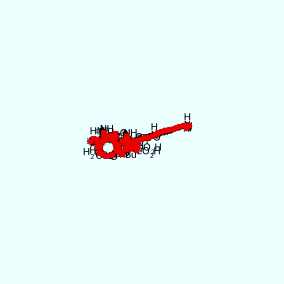 CCCC[C@H](NC(=O)[C@H](CCCCN(CC(=O)O)CC(=O)O)NC(=O)[C@H](CC1=CCC=N1)NC(=O)[C@H](CCC(N)=O)NC(=O)[C@H](CO)NC(=O)CNC(=O)COCCOCCNC(=O)CCCCCCCCCCCCCCCc1nnn[nH]1)C(=O)N[C@H]1CCC(=O)CCCCC[C@@H](C(N)=O)NC(=O)[C@H](Cc2c[nH]c3ccccc23)NC(=O)[C@H](CCCNC(=N)N)NC(=O)[C@@H](Cc2ccccc2)NC(=O)[C@@H]2C[C@@H](O)CN2C1=O